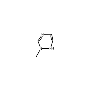 CN1[C]=NC=CN1